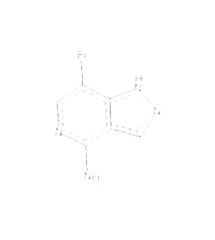 Nc1ncc(Br)c2[nH]ncc12